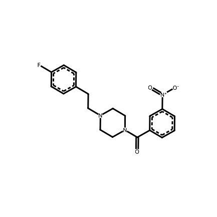 O=C(c1cccc([N+](=O)[O-])c1)N1CCN(CCc2ccc(F)cc2)CC1